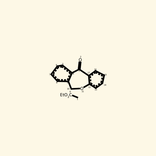 CCOC(C)=O.O=C1c2ccccc2COc2ccccc21